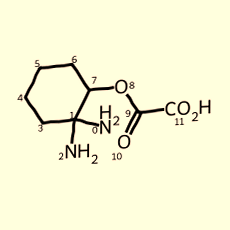 NC1(N)CCCCC1OC(=O)C(=O)O